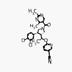 Cc1ncc(C(=O)N2C[C@H]([C@H](C)Oc3ccc(C#N)cn3)[C@@H](c3ccc(Cl)c(Cl)c3)C2)c(C)n1